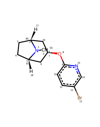 CN1[C@@H]2CC[C@H]1C[C@H](Oc1ccc(Br)cn1)C2